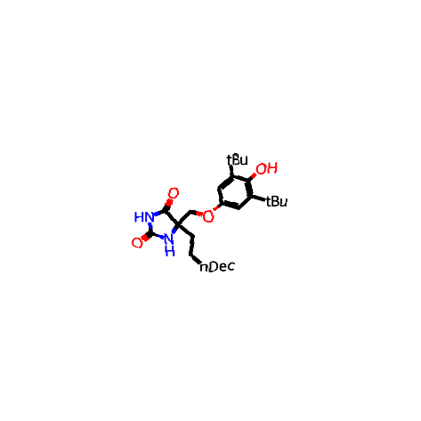 CCCCCCCCCCCCC1(COc2cc(C(C)(C)C)c(O)c(C(C)(C)C)c2)NC(=O)NC1=O